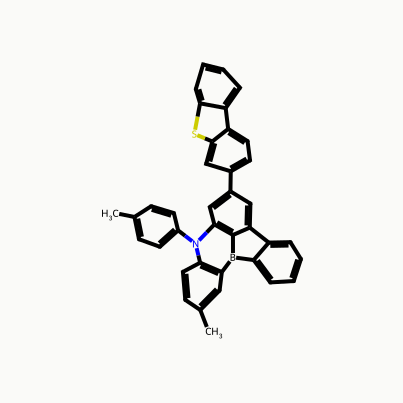 Cc1ccc(N2c3ccc(C)cc3B3c4ccccc4-c4cc(-c5ccc6c(c5)sc5ccccc56)cc2c43)cc1